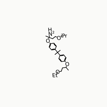 CCOCCC(C)Oc1ccc(C(C)(C)c2ccc(OC(C)(N)CCOC(C)C)cc2)cc1